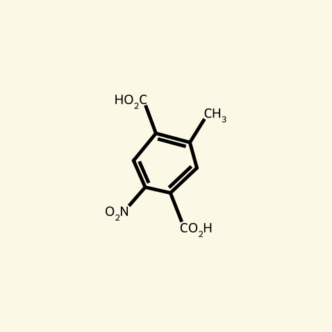 Cc1cc(C(=O)O)c([N+](=O)[O-])cc1C(=O)O